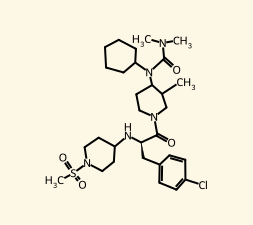 CC1CN(C(=O)[C@@H](Cc2ccc(Cl)cc2)NC2CCN(S(C)(=O)=O)CC2)CCC1N(C(=O)N(C)C)C1CCCCC1